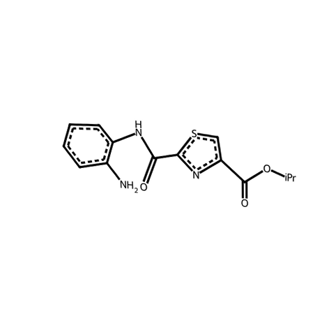 CC(C)OC(=O)c1csc(C(=O)Nc2ccccc2N)n1